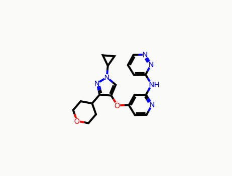 c1cnnc(Nc2cc(Oc3cn(C4CC4)nc3C3CCOCC3)ccn2)c1